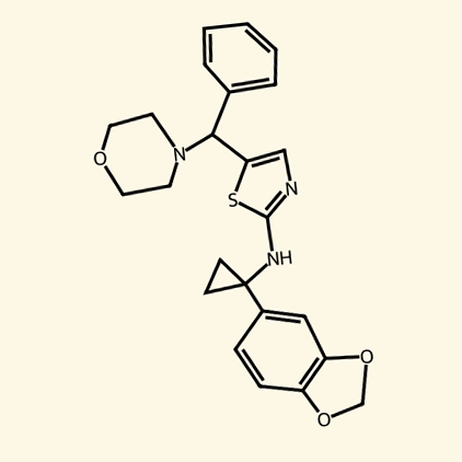 c1ccc(C(c2cnc(NC3(c4ccc5c(c4)OCO5)CC3)s2)N2CCOCC2)cc1